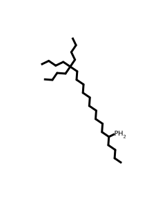 CCCCC(P)CCCCCCCCCCC(CCCC)(CCCC)CCCC